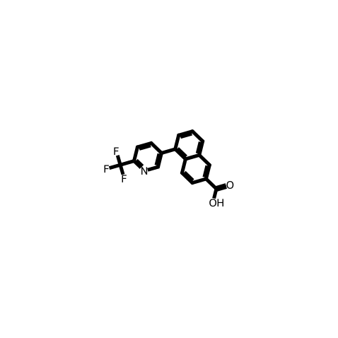 O=C(O)c1ccc2c(-c3ccc(C(F)(F)F)nc3)cccc2c1